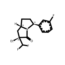 CC[C@@]1(C(F)F)C[C@@H]2CC[C@@H](c3cccc(F)c3)N2C1=O